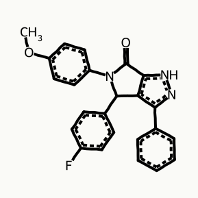 COc1ccc(N2C(=O)c3[nH]nc(-c4ccccc4)c3C2c2ccc(F)cc2)cc1